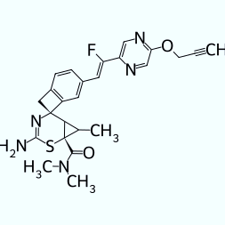 C#CCOc1cnc(/C(F)=C/c2ccc3c(c2)[C@@]2(C3)N=C(N)S[C@@]3(C(=O)N(C)C)C(C)C32)cn1